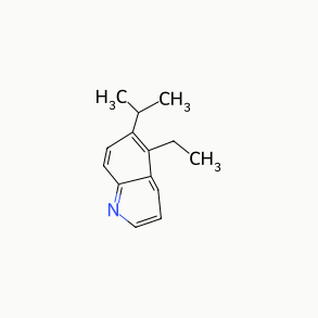 CCc1c(C(C)C)ccc2ncccc12